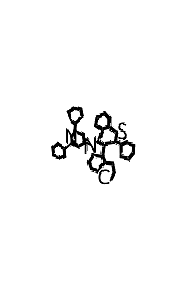 c1ccc(-c2cc(-n3c4ccc5ccccc5c4c4c5c6ccccc6sc5c5ccccc5c43)cc(-c3ccccc3)n2)cc1